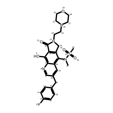 CN(c1c2c(c(O)c3ncc(Cc4ccc(F)cc4)cc13)C(=O)N(CCN1CCOCC1)C2)S(C)(=O)=O